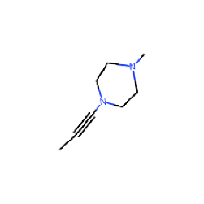 CC#CN1CCN(C)CC1